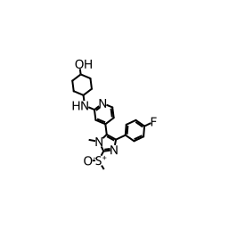 Cn1c([S+](C)[O-])nc(-c2ccc(F)cc2)c1-c1ccnc(NC2CCC(O)CC2)c1